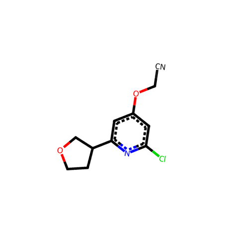 N#CCOc1cc(Cl)nc(C2CCOC2)c1